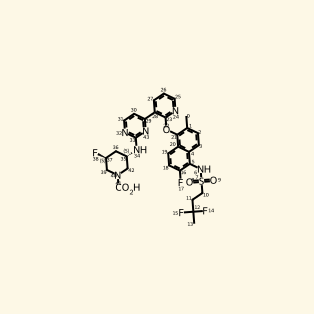 Cc1ccc2c(NS(=O)(=O)CCC(C)(F)F)c(F)ccc2c1Oc1ncccc1-c1ccnc(N[C@H]2C[C@H](F)CN(C(=O)O)C2)n1